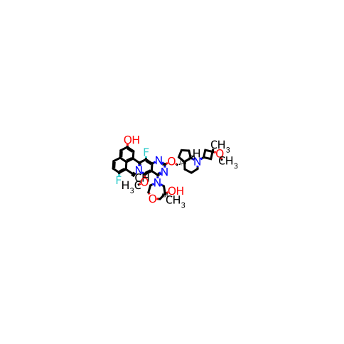 C#Cc1c(F)ccc2cc(O)cc(-c3nc(OC)c4c(N5CCOC[C@@](C)(O)C5)nc(OC[C@]56CCC[C@H]5N(C5CC(C)(OC)C5)CCC6)nc4c3F)c12